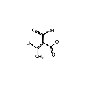 CC(Cl)=C(C(=O)O)C(=O)O